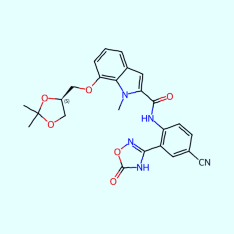 Cn1c(C(=O)Nc2ccc(C#N)cc2-c2noc(=O)[nH]2)cc2cccc(OC[C@H]3COC(C)(C)O3)c21